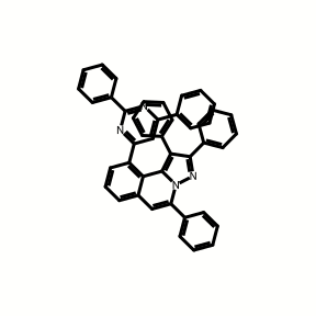 c1ccc(-c2cc(-c3cccc4cc(-c5ccccc5)n5nc(-c6ccccc6)c(-c6ccccc6)c5c34)nc(-c3ccccc3)n2)cc1